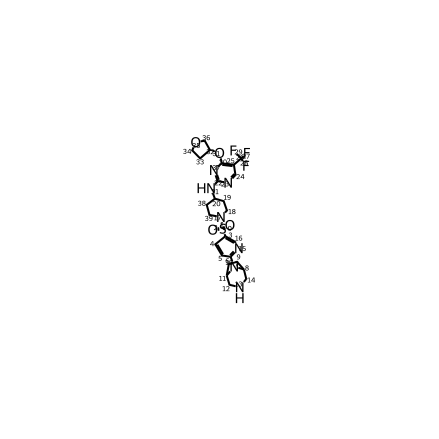 O=S(=O)(c1ccc(N2C3CCC2CNC3)nc1)N1CCC(Nc2ncc(C(F)(F)F)c(O[C@H]3CCOC3)n2)CC1